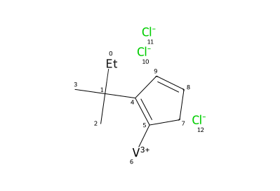 CCC(C)(C)C1=[C]([V+3])CC=C1.[Cl-].[Cl-].[Cl-]